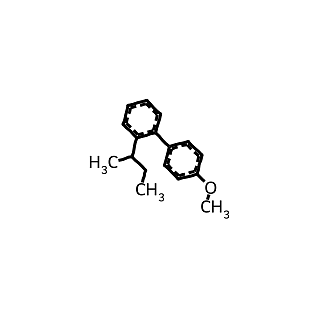 CCC(C)c1ccccc1-c1ccc(OC)cc1